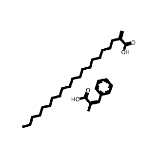 C=C(CCCCCCCCCCCCCCCCCCC)C(=O)O.CC(=Cc1ccccc1)C(=O)O